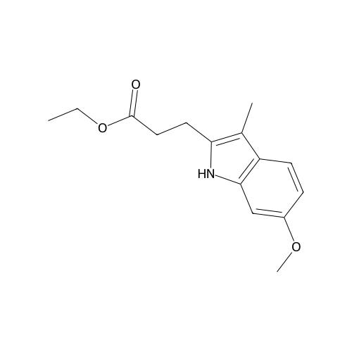 CCOC(=O)CCc1[nH]c2cc(OC)ccc2c1C